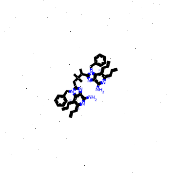 C=C/C=c1\c(=C/C=C)nc(N)c2nc(CC(C)(C)C(C)c3nc4c(N)nc(=C/C=C)/c(=C\C=C)c4n3Cc3ccccc3)n(Cc3ccccc3)c12